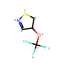 FC(F)(F)OC1[CH]SN=C1